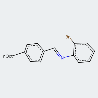 CCCCCCCCc1ccc(/C=N/c2ccccc2Br)cc1